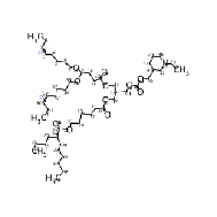 CC/C=C\CCCCOC(CCC(=O)OCC(COC(=O)CCCCCOC(=O)C(CCCC)CCCCCC)COC(=O)OCC1CCCN(CC)C1)OCCCC/C=C\CC